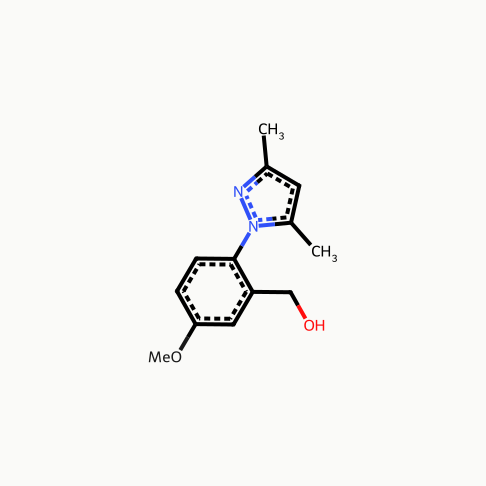 COc1ccc(-n2nc(C)cc2C)c(CO)c1